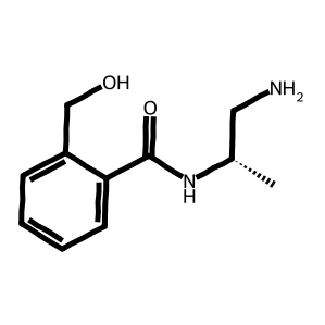 C[C@@H](CN)NC(=O)c1ccccc1CO